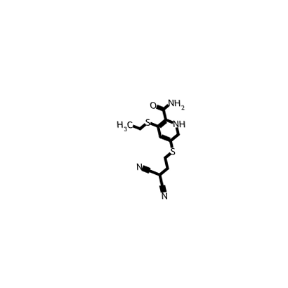 CCSC1=C(C(N)=O)NCC(SCCC(C#N)C#N)=C1